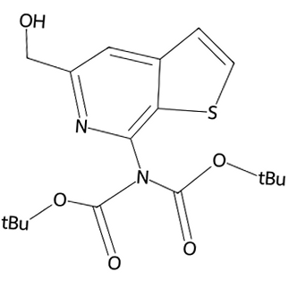 CC(C)(C)OC(=O)N(C(=O)OC(C)(C)C)c1nc(CO)cc2ccsc12